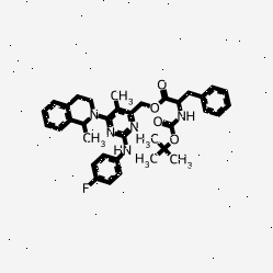 Cc1c(COC(=O)C(Cc2ccccc2)NC(=O)OC(C)(C)C)nc(Nc2ccc(F)cc2)nc1N1CCc2ccccc2C1C